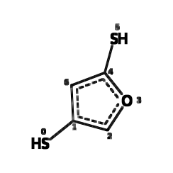 Sc1coc(S)c1